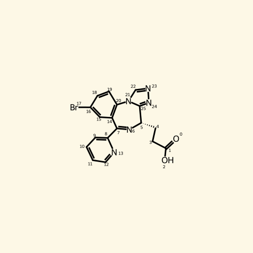 O=C(O)CC[C@@H]1N=C(c2ccccn2)c2cc(Br)ccc2-n2cnnc21